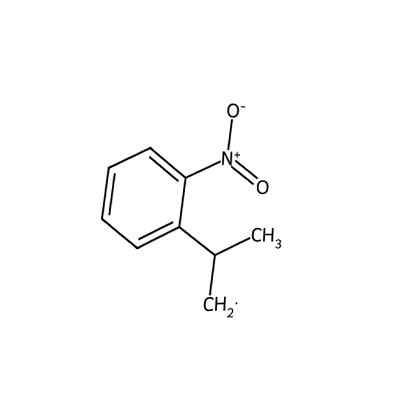 [CH2]C(C)c1ccccc1[N+](=O)[O-]